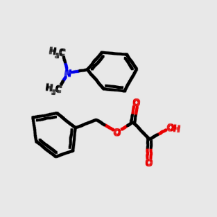 CN(C)c1ccccc1.O=C(O)C(=O)OCc1ccccc1